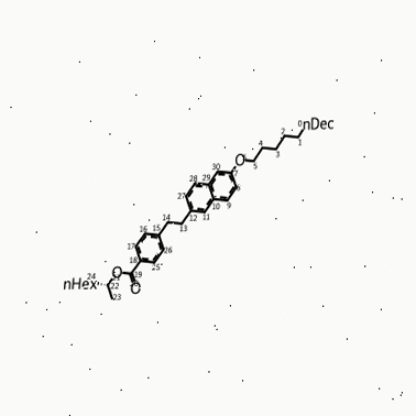 CCCCCCCCCCCCCCCOc1ccc2cc(CCc3ccc(C(=O)O[C@H](C)CCCCCC)cc3)ccc2c1